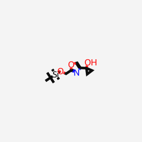 CC(C)(C)[Si](C)(C)OCc1nc(C2(O)CC2)co1